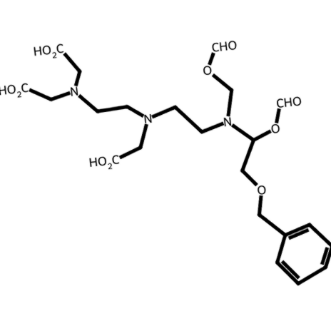 O=COCN(CCN(CCN(CC(=O)O)CC(=O)O)CC(=O)O)C(COCc1ccccc1)OC=O